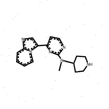 CN(c1nccc(-c2cnc3ccccn23)n1)C1CCNCC1